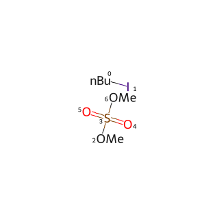 CCCCI.COS(=O)(=O)OC